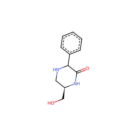 O=C1N[C@@H](CO)CNC1c1ccccc1